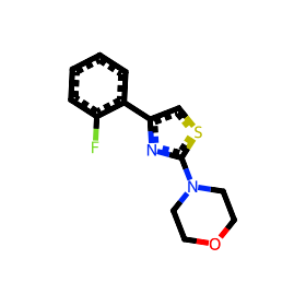 Fc1ccccc1-c1csc(N2CCOCC2)n1